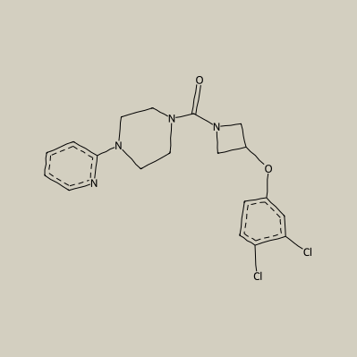 O=C(N1CCN(c2ccccn2)CC1)N1CC(Oc2ccc(Cl)c(Cl)c2)C1